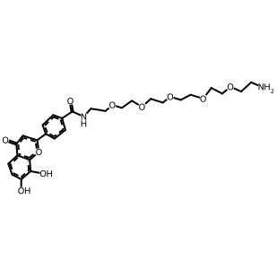 NCCOCCOCCOCCOCCOCCNC(=O)c1ccc(-c2cc(=O)c3ccc(O)c(O)c3o2)cc1